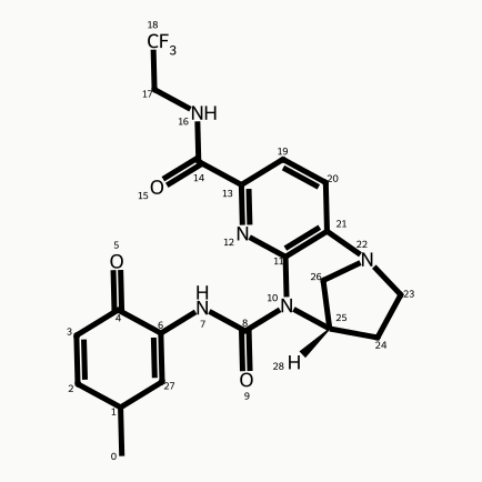 CC1C=CC(=O)C(NC(=O)N2c3nc(C(=O)NCC(F)(F)F)ccc3N3CC[C@H]2C3)=C1